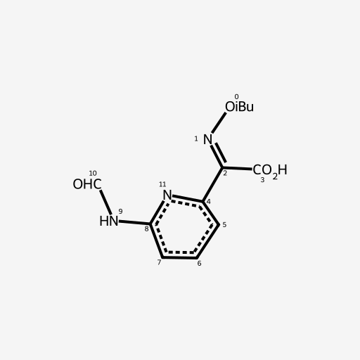 CC(C)CON=C(C(=O)O)c1cccc(NC=O)n1